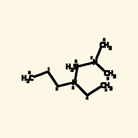 CCCN(CC)[SiH2]N(C)C